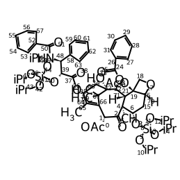 CC(=O)O[C@H]1C(=O)[C@]2(C)[C@@H](O[Si](OC(C)C)(OC(C)C)OC(C)C)C[C@H]3OC[C@@]3(OC(C)=O)[C@H]2[C@H](OC(=O)c2ccccc2)[C@]2(O)C[C@H](OC(=O)[C@H](O[Si](OC(C)C)(OC(C)C)OC(C)C)[C@@H](NC(=O)c3ccccc3)c3ccccc3)C(C)=C1C2(C)C